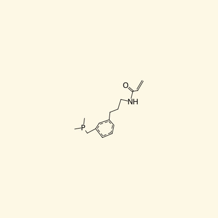 C=CC(=O)NCCCc1cccc(CP(C)C)c1